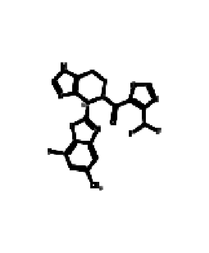 Cc1cc(F)c2oc([C@@H]3c4nc[nH]c4CCN3C(=O)c3ocnc3C(F)F)nc2c1